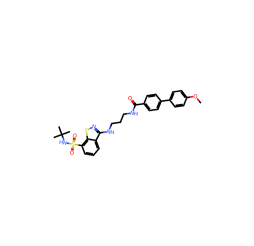 COc1ccc(-c2ccc(C(=O)NCCCNc3nsc4c(S(=O)(=O)NC(C)(C)C)cccc34)cc2)cc1